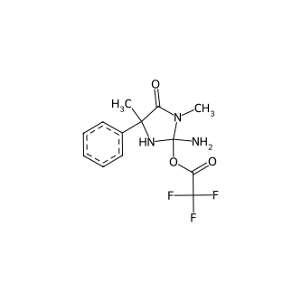 CN1C(=O)C(C)(c2ccccc2)NC1(N)OC(=O)C(F)(F)F